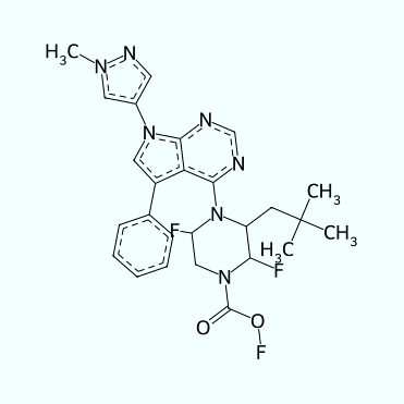 Cn1cc(-n2cc(-c3ccccc3)c3c(N4C(F)CN(C(=O)OF)C(F)C4CC(C)(C)C)ncnc32)cn1